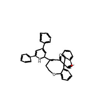 C=C1/C=C(/C2C=C(c3ccccc3)C=C(c3ccccc3)N2)CCOc2ccccc2C12c1ccccc1-c1ccccc12